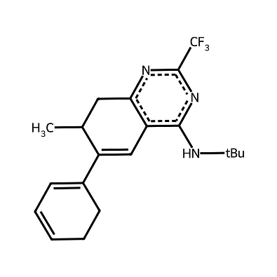 CC1Cc2nc(C(F)(F)F)nc(NC(C)(C)C)c2C=C1C1=CC=CCC1